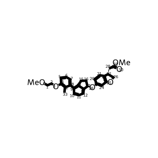 COCCOc1cccc(-c2cccc3c2CC[C@H]3Oc2ccc3c(c2)OC[C@H]3CC(=O)OC)c1C